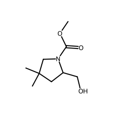 COC(=O)N1CC(C)(C)CC1CO